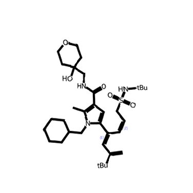 C=C(/C=C(\C=C/CS(=O)(=O)NC(C)(C)C)c1cc(C(=O)NCC2(O)CCOCC2)c(C)n1CC1CCCCC1)C(C)(C)C